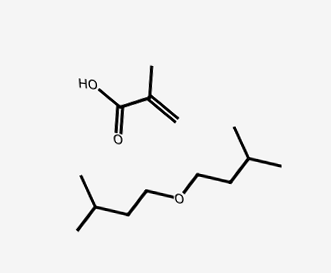 C=C(C)C(=O)O.CC(C)CCOCCC(C)C